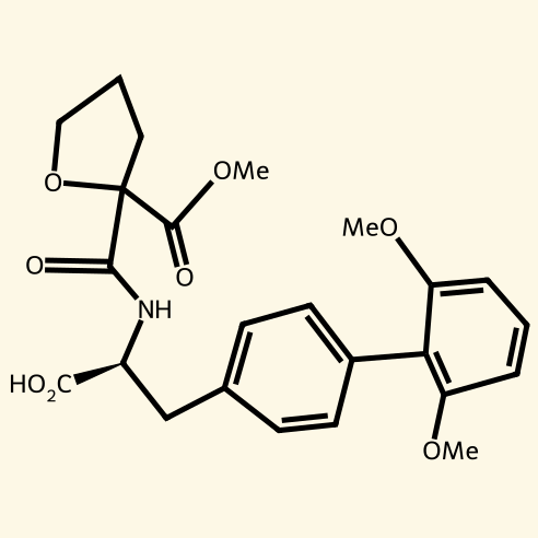 COC(=O)C1(C(=O)N[C@@H](Cc2ccc(-c3c(OC)cccc3OC)cc2)C(=O)O)CCCO1